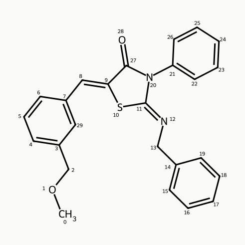 COCc1cccc(/C=C2\S/C(=N\Cc3ccccc3)N(c3ccccc3)C2=O)c1